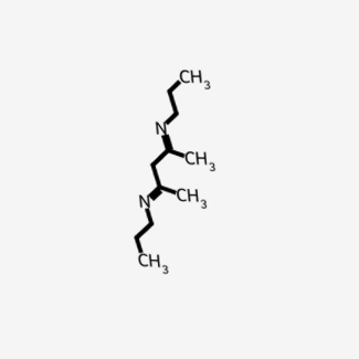 CCC/N=C(\C)C/C(C)=N/CCC